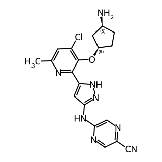 Cc1cc(Cl)c(O[C@@H]2CC[C@H](N)C2)c(-c2cc(Nc3cnc(C#N)cn3)n[nH]2)n1